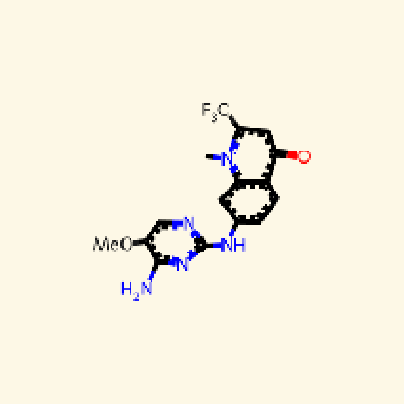 COc1cnc(Nc2ccc3c(=O)cc(C(F)(F)F)n(C)c3c2)nc1N